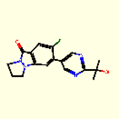 CC(C)(O)c1ncc(-c2cc3c(cc2F)c(=O)n2n3CCC2)cn1